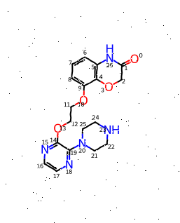 O=C1COc2c(cccc2OCCOc2nccnc2N2CCNCC2)N1